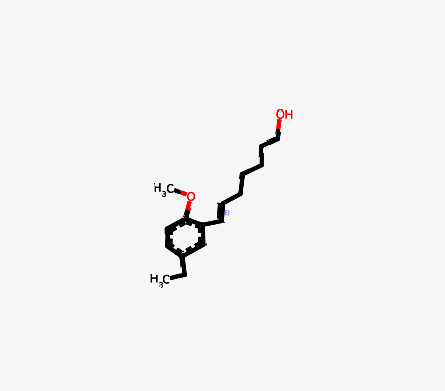 CCc1ccc(OC)c(/C=C/CCCCCO)c1